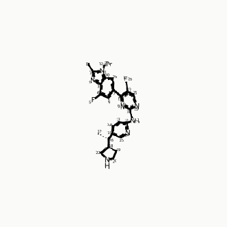 Cc1nc2c(F)cc(-c3nc(Nc4ccc([C@@H](C)[C@H]5CCNC5)cn4)ncc3F)cc2n1C(C)C